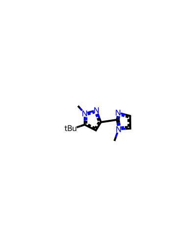 Cn1ccnc1-c1cc(C(C)(C)C)n(C)n1